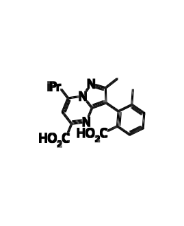 Cc1cccc(C(=O)O)c1-c1c(C)nn2c(C(C)C)cc(C(=O)O)nc12